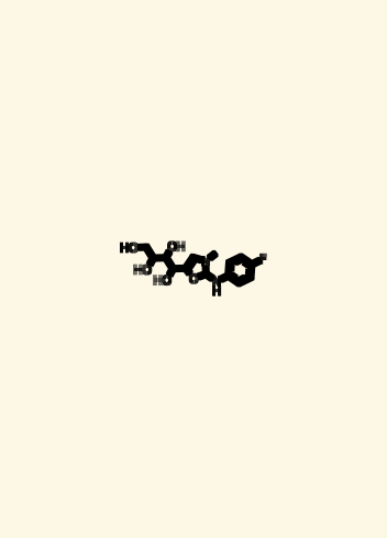 CN1C=C(C(O)C(O)C(O)CO)OC1Nc1ccc(F)cc1